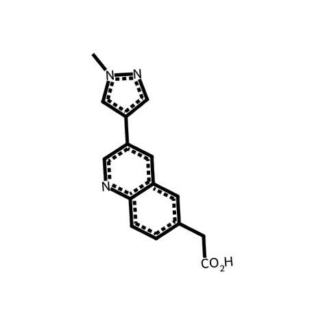 Cn1cc(-c2cnc3ccc(CC(=O)O)cc3c2)cn1